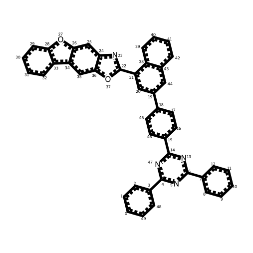 c1ccc(-c2nc(-c3ccccc3)nc(-c3ccc(-c4cc(-c5nc6cc7oc8ccccc8c7cc6o5)c5ccccc5c4)cc3)n2)cc1